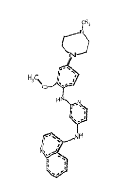 COc1cc(N2CCN(C)CC2)ccc1Nc1cc(Nc2ccnc3ccccc23)ccn1